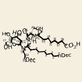 CCCCCCCCCCCCCCCCCC(=O)N(CCCCCCCCCCCC)[C@@H]1O[C@H](CO)[C@@H](O)[C@H](O)[C@@H]1NC(=O)[C@H](CO)NC(=O)CCCCCCC(=O)O